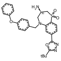 CC(C)(C)c1nnc(-c2ccc3c(c2)N(Cc2ccc(Oc4ccccc4)cc2)C[C@@H](N)CS3(=O)=O)o1